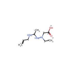 C=CCNC(C)NN(CC)CC(=O)O